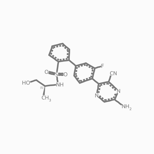 C[C@@H](CO)NS(=O)(=O)c1ccccc1-c1ccc(-c2ncc(N)nc2C#N)c(F)c1